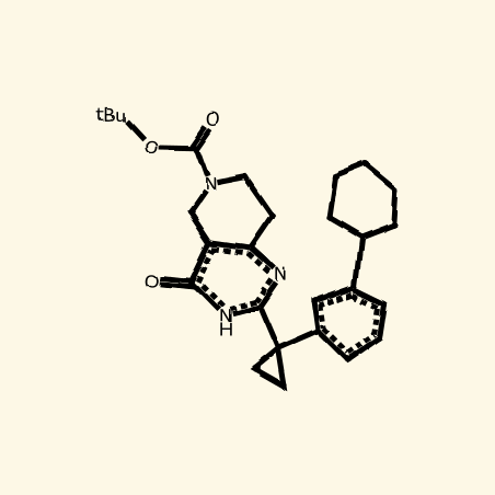 CC(C)(C)OC(=O)N1CCc2nc(C3(c4cccc(C5CCCCC5)c4)CC3)[nH]c(=O)c2C1